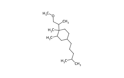 COCC(C)C1(C)CCC(CCCC(C)C)CC1C